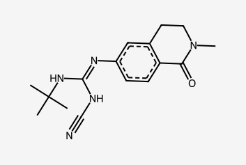 CN1CCc2cc(/N=C(\NC#N)NC(C)(C)C)ccc2C1=O